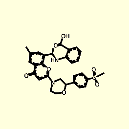 Cc1cc(C(C)Nc2ccccc2C(=O)O)c2oc(N3CCOC(c4ccc(S(C)(=O)=O)cc4)C3)cc(=O)c2c1